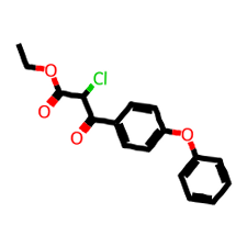 CCOC(=O)C(Cl)C(=O)c1ccc(Oc2ccccc2)cc1